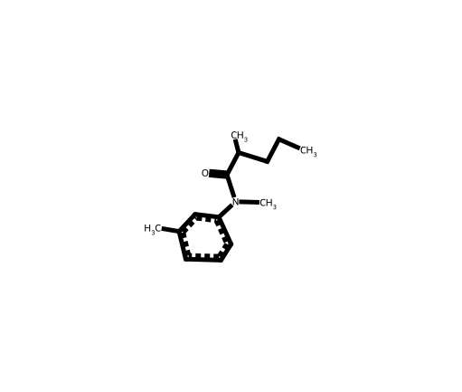 CCCC(C)C(=O)N(C)c1cccc(C)c1